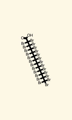 O=C(O)C(Br)(Br)C(Br)(Br)C(Br)(Br)C(Br)(Br)C(Br)(Br)C(Br)(Br)C(Br)(Br)C(Br)(Br)C(Br)(Br)C(Br)(Br)C(Br)(Br)C(Br)(Br)Br